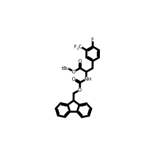 CC(C)(C)OC(=O)C(Cc1ccc(F)c(C(F)(F)F)c1)NC(=O)OCC1c2ccccc2-c2ccccc21